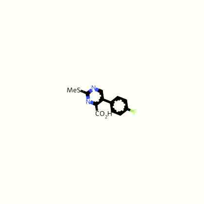 CSc1ncc(-c2ccc(F)cc2)c(C(=O)O)n1